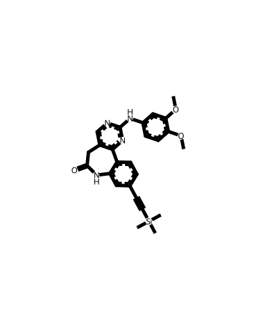 COc1ccc(Nc2ncc3c(n2)-c2ccc(C#C[Si](C)(C)C)cc2NC(=O)C3)cc1OC